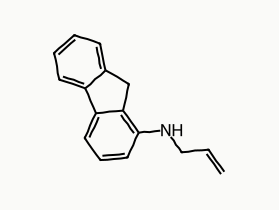 C=CCNc1cccc2c1Cc1ccccc1-2